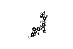 CC1(c2ccc(Cl)cc2F)Oc2cccc(C3=CCN(Cc4nc5cc(NC(=O)c6cc(F)c7c(c6)C6(CC6)C(=O)N7)ccc5n4C[C@@H]4CCO4)CC3)c2O1